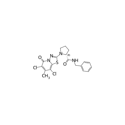 Cc1c(Cl)c(=O)n2nc(N3CCC[C@@H]3C(=O)NCc3ccccc3)sc2c1Cl